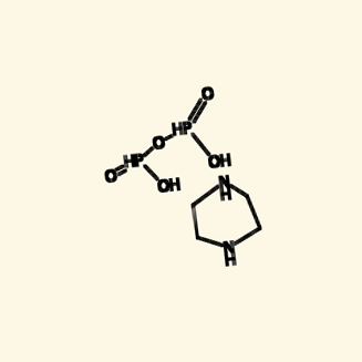 C1CNCCN1.O=[PH](O)O[PH](=O)O